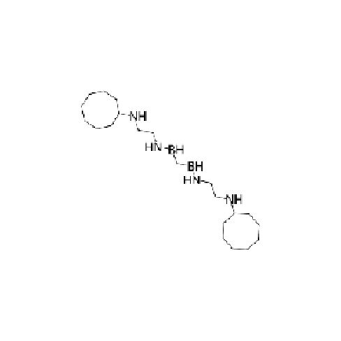 B(CBNCCNC1CCCCCCC1)NCCNC1CCCCCCC1